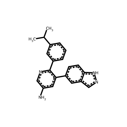 CC(C)c1cccc(-c2ncc(N)cc2-c2ccc3[nH]ncc3c2)c1